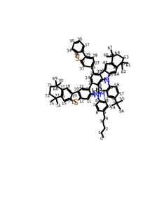 CCCCCc1ccc(Nc2cc3sc4cc5c(cc4c3cc2-c2cc(-c3ccc4c(c3)sc3ccccc34)c3c4cc6c(cc4n4c3c2Bc2cc(C(C)(C)C)ccc2-4)C(C)(C)CCC6(C)C)C(C)(C)CCC5(C)C)cc1